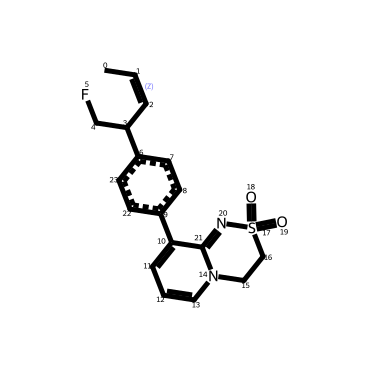 C/C=C\C(CF)c1ccc(C2=CC=CN3CCS(=O)(=O)N=C23)cc1